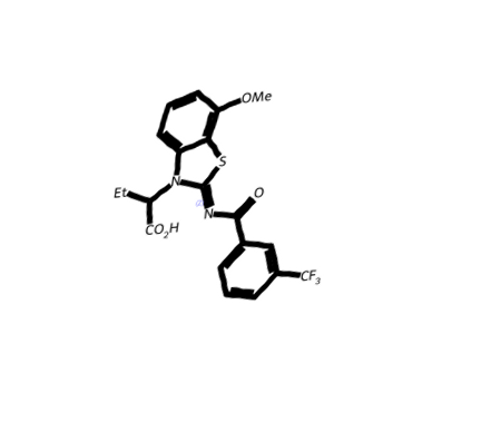 CCC(C(=O)O)n1/c(=N/C(=O)c2cccc(C(F)(F)F)c2)sc2c(OC)cccc21